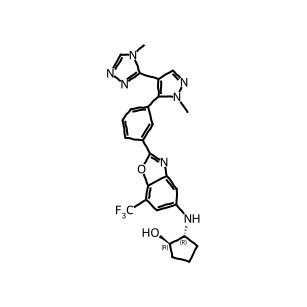 Cn1cnnc1-c1cnn(C)c1-c1cccc(-c2nc3cc(N[C@@H]4CCC[C@H]4O)cc(C(F)(F)F)c3o2)c1